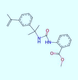 C=C(C)c1cccc(C(C)(C)NC(=O)Nc2ccccc2C(=O)OC)c1